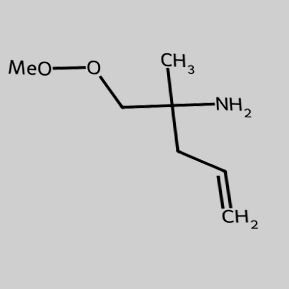 C=CCC(C)(N)COOC